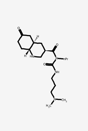 CCCN(C(=O)NCCCN(C)C)C(=O)[C@H]1CN[C@@H]2CCC(=O)C[C@H]2C1